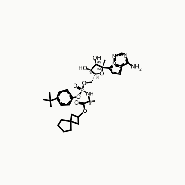 C[C@H](NP(=O)(OC[C@H]1O[C@@](C)(c2ccc3c(N)ncnn23)[C@H](O)[C@@H]1O)Oc1ccc(C(C)(C)C)cc1)C(=O)OC1CC2(CCCC2)C1